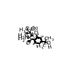 CC(C)(O)c1ccc(S(N)(=O)=N[Si](C)(C)C(C)(C)C)c(Cl)c1